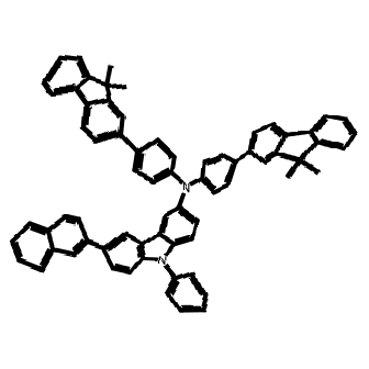 CC1(C)c2ccccc2-c2ccc(-c3ccc(N(c4ccc(-c5ccc6c(c5)C(C)(C)c5ccccc5-6)cc4)c4ccc5c(c4)c4cc(-c6ccc7ccccc7c6)ccc4n5-c4ccccc4)cc3)cc21